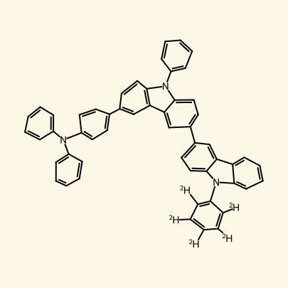 [2H]c1c([2H])c([2H])c(-n2c3ccccc3c3cc(-c4ccc5c(c4)c4cc(-c6ccc(N(c7ccccc7)c7ccccc7)cc6)ccc4n5-c4ccccc4)ccc32)c([2H])c1[2H]